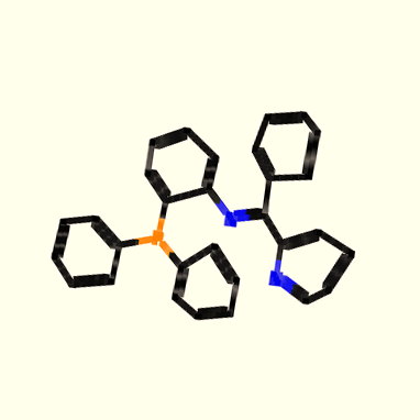 c1ccc(/C(=N\c2ccccc2P(c2ccccc2)c2ccccc2)c2ccccn2)cc1